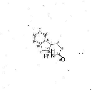 O=C1CCC2c3ccccc3C[C@@H]2N1